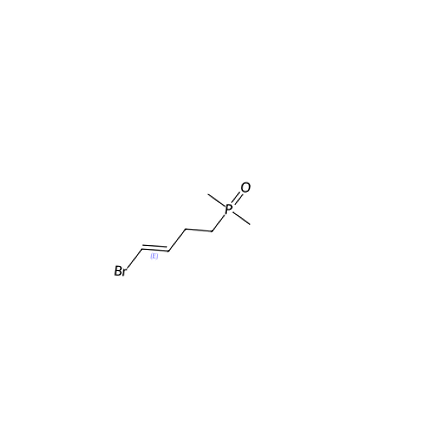 CP(C)(=O)CC/C=C/Br